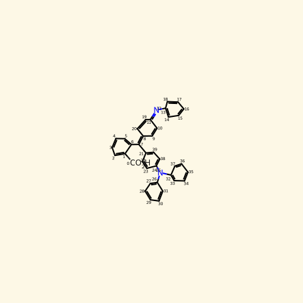 O=C(O)c1ccccc1C(=C1C=CC(=Nc2ccccc2)C=C1)c1ccc(N(c2ccccc2)c2ccccc2)cc1